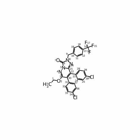 CCOc1nn2c(=O)n(Cc3ccc(C(F)(F)F)cc3)nc2c(-c2ccc(Cl)cc2)c1-c1ccc(Cl)cc1